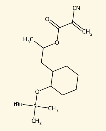 C=C(C#N)C(=O)OC(C)CC1CCCCC1O[Si](C)(C)C(C)(C)C